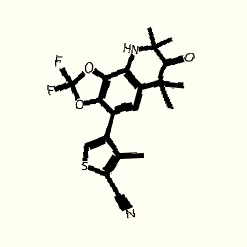 Cc1c(-c2cc3c(c4c2OC(F)(F)O4)NC(C)(C)C(=O)C3(C)C)csc1C#N